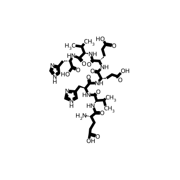 CC(C)[C@H](NC(=O)[C@H](CCC(=O)O)NC(=O)[C@H](CCC(=O)O)NC(=O)[C@H](Cc1c[nH]cn1)NC(=O)[C@@H](NC(=O)[C@@H](N)CCC(=O)O)C(C)C)C(=O)N[C@@H](Cc1c[nH]cn1)C(=O)O